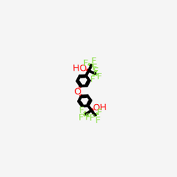 OC(c1ccc(Oc2ccc(C(O)(C(F)(F)F)C(F)(F)F)cc2)cc1)(C(F)(F)F)C(F)(F)F